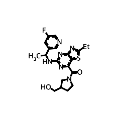 CCc1nc2nc(NC(C)c3cncc(F)c3)nc(C(=O)N3CCC(CO)C3)c2s1